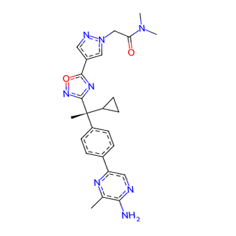 Cc1nc(-c2ccc([C@](C)(c3noc(-c4cnn(CC(=O)N(C)C)c4)n3)C3CC3)cc2)cnc1N